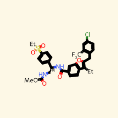 CCc1c(Cc2ccc(Cl)cc2C(F)(F)F)oc2cc(C(=O)N[C@@H](CNC(=O)OC)c3ccc(S(=O)(=O)CC)cc3)ccc12